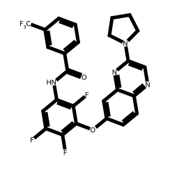 O=C(Nc1cc(F)c(F)c(Oc2ccc3ncc(N4CCCC4)nc3c2)c1F)c1cccc(C(F)(F)F)c1